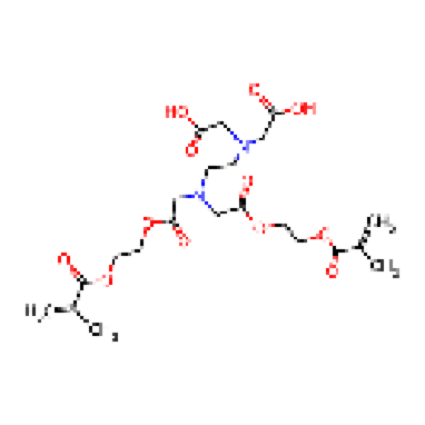 C=C(C)C(=O)OCCOC(=O)CN(CCN(CC(=O)O)CC(=O)O)CC(=O)OCCOC(=O)C(=C)C